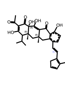 CC(=O)C1=C(O)C(C(C)C)[C@@]2(C)C[C@@]3(C)Cc4c(/C=C/C5=C(C)C=CC5)ccc(O)c4C(=O)C3=C(O)[C@@]2(O)C1=O